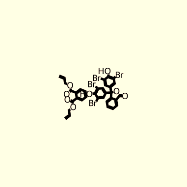 C=CCOC(=O)c1ccccc1C(=O)OCC=C.O=C1OC(c2cc(Br)c(O)c(Br)c2)(c2cc(Br)c(O)c(Br)c2)c2ccccc21